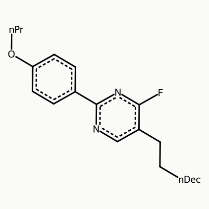 CCCCCCCCCCCCc1cnc(-c2ccc(OCCC)cc2)nc1F